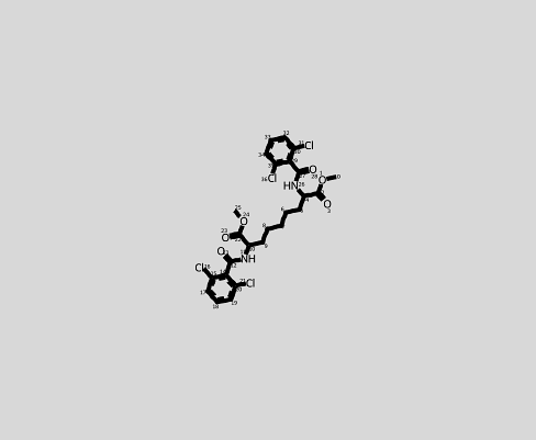 COC(=O)C(CCCCCC(NC(=O)c1c(Cl)cccc1Cl)C(=O)OC)NC(=O)c1c(Cl)cccc1Cl